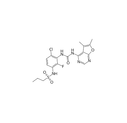 CCCS(=O)(=O)Nc1ccc(Cl)c(NC(=O)Nc2ncnc3oc(C)c(C)c23)c1F